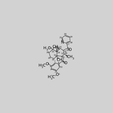 COc1cc(OC)cc(C(=O)[C@H]2[C@H](C)C(C(=O)c3ccccn3)C[C@H]3C(C)(C)CCC[C@]23C)c1